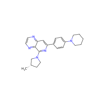 C[C@H]1CCN(c2nc(-c3ccc(N4CCCCC4)cc3)cc3nccnc23)C1